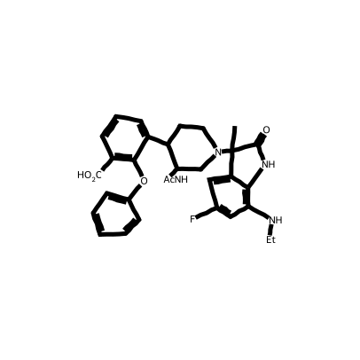 CCNc1cc(F)cc2c1NC(=O)C2(C)N1CCC(c2cccc(C(=O)O)c2Oc2ccccc2)C(NC(C)=O)C1